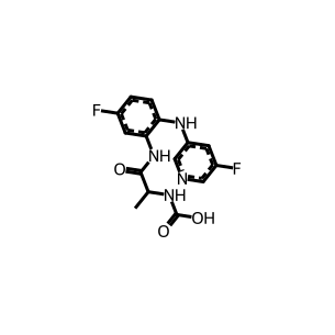 CC(NC(=O)O)C(=O)Nc1cc(F)ccc1Nc1cncc(F)c1